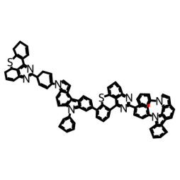 C1=CC2=C(CC1)SC1CC=Cc3nc(C4C=CC(n5ccc6c7c8ccc(-c9cccc%10c9Sc9cccc%11nc(-c%12ccc(-n%13c%14ccccc%14c%14ccc%15ccn(-c%16ccccc%16)c%15c%14%13)cc%12)nc-%10c9%11)cc8n(-c8ccccc8)c7ccc65)=CC4)nc2c31